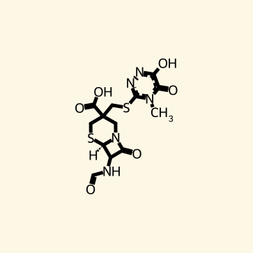 Cn1c(SCC2(C(=O)O)CS[C@@H]3C(NC=O)C(=O)N3C2)nnc(O)c1=O